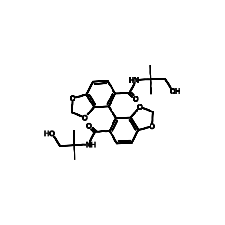 CC(C)(CO)NC(=O)c1ccc2c(c1-c1c(C(=O)NC(C)(C)CO)ccc3c1OCO3)OCO2